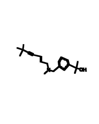 CN(CC=CC#CC(C)(C)C)Cc1cccc(C(C)(C)O)c1